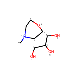 CN1CCOCC1.OCC(O)CO